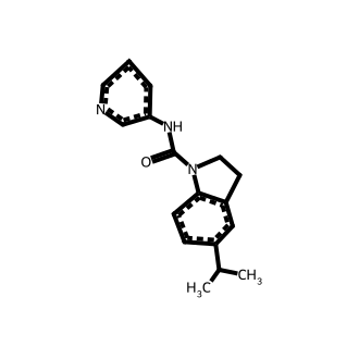 CC(C)c1ccc2c(c1)CCN2C(=O)Nc1cccnc1